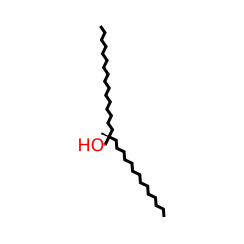 CCCCCCCCCCCCCCCC[C@@](C)(CO)CCCCCCCCCCCCCC